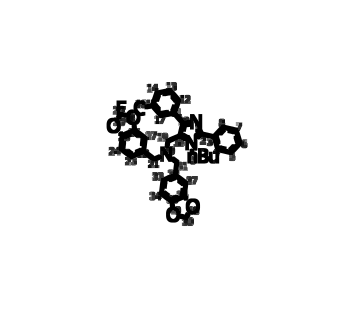 CCCCn1c(-c2ccccc2)nc(-c2cccc(C(F)(F)F)c2)c1CN(Cc1ccc2c(c1)OCO2)Cc1ccc2c(c1)OCO2